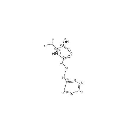 CC(C)[C@H](NC(=O)CCCc1ccccc1)C(=O)O